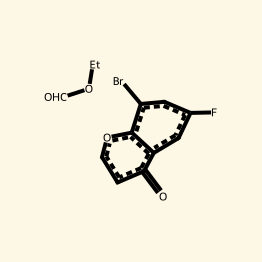 CCOC=O.O=c1ccoc2c(Br)cc(F)cc12